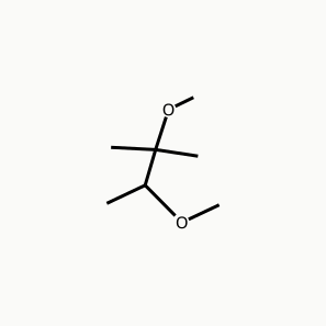 COC(C)C(C)(C)OC